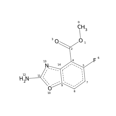 COC(=O)c1c(F)ccc2oc(N)nc12